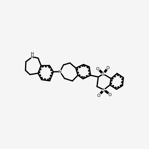 O=S1(=O)CC(c2ccc3c(c2)CCN(c2ccc4c(c2)CNCCC4)CC3)S(=O)(=O)c2ccccc21